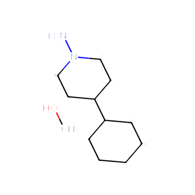 CO.NN1CCC(C2CCCCC2)CC1